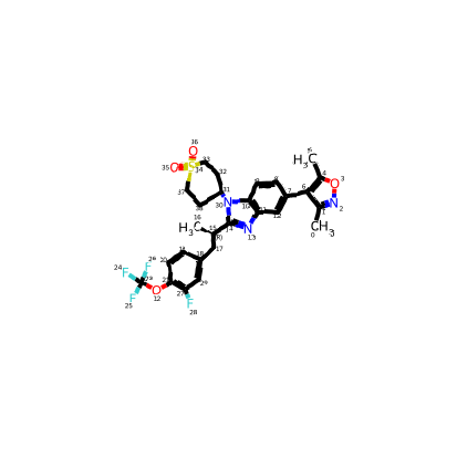 Cc1noc(C)c1-c1ccc2c(c1)nc([C@H](C)Cc1ccc(OC(F)(F)F)c(F)c1)n2C1CCS(=O)(=O)CC1